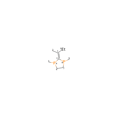 CCC(C)=C1P(C)CCP1C